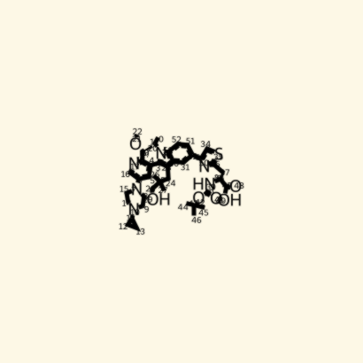 CCn1c(-c2cc(N3CCN(C4CC4)CC3)cnc2[C@H](C)OC)c(CC(C)(C)CO)c2cc(-c3csc(C[C@H](NC(=O)OC(C)(C)C)C(=O)O)n3)ccc21